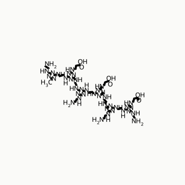 Cc1nc(NCCN)nc(NCCNc2nc(NCCNc3nc(NCCN)nc(NCCNc4nc(NCCNc5nc(NCCN)nc(NCCNc6nc(NCCN)nc(NCCC(=O)O)n6)n5)nc(NCCC(=O)O)n4)n3)nc(NCCC(=O)O)n2)n1